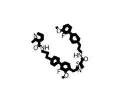 COc1cccc(-c2ccc(CCCNC(=O)c3cnc(Cc4ccc(-c5ccc(CCCNC(=O)c6cccnc6C)cc5)c(F)c4OC)s3)cc2)c1F